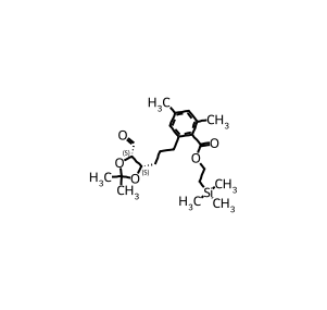 Cc1cc(C)c(C(=O)OCC[Si](C)(C)C)c(CCC[C@@H]2OC(C)(C)O[C@@H]2C=O)c1